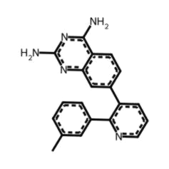 Cc1cccc(-c2ncccc2-c2ccc3c(N)nc(N)nc3c2)c1